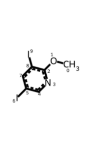 COc1ncc(I)cc1I